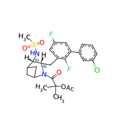 CC(=O)OC(C)(C)C(=O)N1C2CC(C2)[C@H](NS(C)(=O)=O)[C@@H]1Cc1cc(F)cc(-c2cccc(Cl)c2)c1F